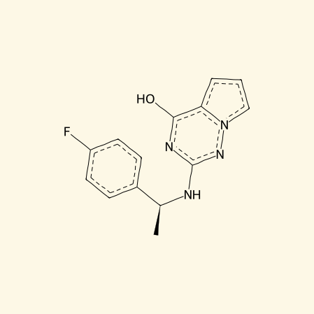 C[C@H](Nc1nc(O)c2cccn2n1)c1ccc(F)cc1